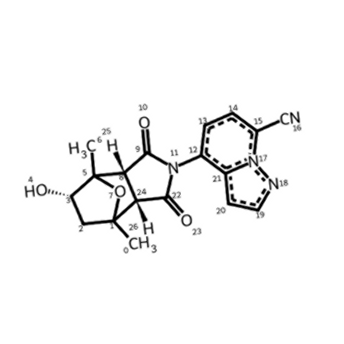 CC12C[C@H](O)C(C)(O1)[C@@H]1C(=O)N(c3ccc(C#N)n4nccc34)C(=O)[C@@H]12